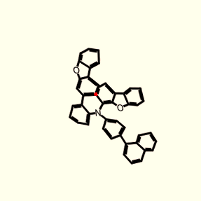 c1ccc(N(c2ccc(-c3cccc4ccccc34)cc2)c2cccc3c2oc2ccccc23)c(-c2ccc3c(c2)oc2ccccc23)c1